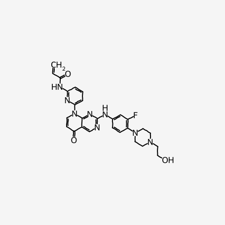 C=CC(=O)Nc1cccc(-n2ccc(=O)c3cnc(Nc4ccc(N5CCN(CCO)CC5)c(F)c4)nc32)n1